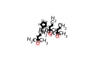 C=CCC(C)(C)[O-].C=CCC(C)(C)[O-].C=CCC(C)(C)[O-].[Ti+3][C]1=CC=CC1